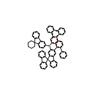 c1ccc(-c2ccccc2-c2cc3c(cc2N(c2ccc4c(c2)-c2ccccc2C42CCCCC2)c2ccc4c5ccccc5c5ccccc5c4c2)C2(c4ccccc4-c4ccccc42)c2ccccc2-3)cc1